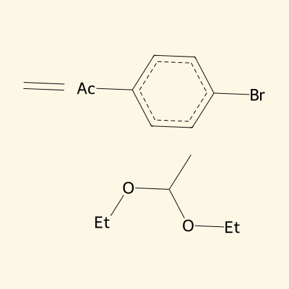 C=C.CC(=O)c1ccc(Br)cc1.CCOC(C)OCC